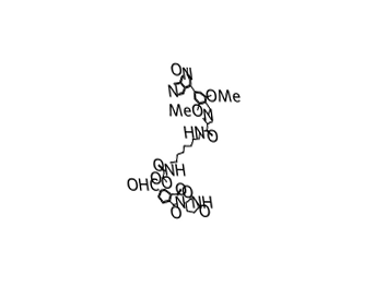 COc1cc(-c2cn(C)c(=O)c3cnccc23)cc(OC)c1CN1CC(C(=O)NCCCCCCCCNC(=O)C(OC=O)Oc2cccc3c2C(=O)N(C2CCC(=O)NC2=O)C3=O)C1